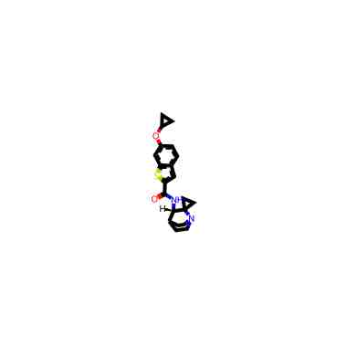 O=C(N[C@H]1C2CCN(CC2)C12CC2)c1cc2ccc(OC3CC3)cc2s1